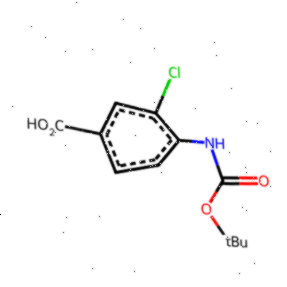 CC(C)(C)OC(=O)Nc1ccc(C(=O)O)cc1Cl